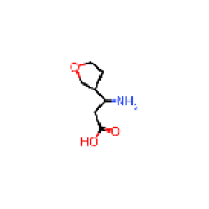 NC(CC(=O)O)C1CCOC1